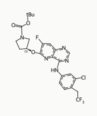 CC(C)(C)OC(=O)N1CC[C@H](Oc2nc3c(Nc4ccc(CC(F)(F)F)c(Cl)c4)ncnc3cc2F)C1